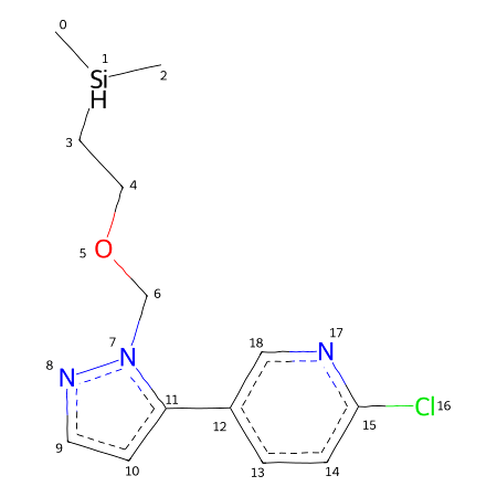 C[SiH](C)CCOCn1nccc1-c1ccc(Cl)nc1